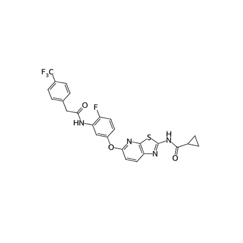 O=C(Cc1ccc(C(F)(F)F)cc1)Nc1cc(Oc2ccc3nc(NC(=O)C4CC4)sc3n2)ccc1F